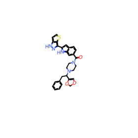 O=C(c1ccc2cc(-c3n[nH]c4ccsc34)[nH]c2c1)N1CCN(C(Cc2ccccc2)C2=COCO2)CC1